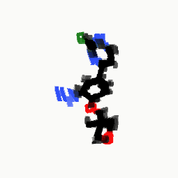 CC1(COc2ccc(-c3ccnc(Cl)n3)cc2N)COC1